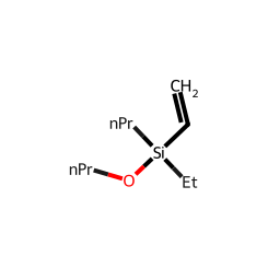 C=C[Si](CC)(CCC)OCCC